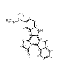 COC(C)c1ccc2[nH]c3c4c(c5c(c3c2c1)CNC5=O)-c1ccccc1C4